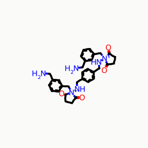 NCc1cccc(C[N+]2(NCc3ccc(CN[N+]4(Cc5cccc(CN)c5)C(=O)CCC4=O)cc3)C(=O)CCC2=O)c1